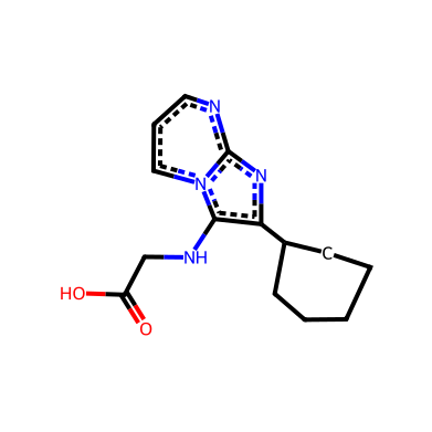 O=C(O)CNc1c(C2CCCCC2)nc2ncccn12